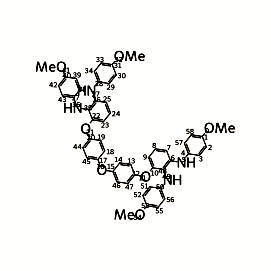 COc1ccc(Nc2cccc(Oc3ccc(Oc4ccc(Oc5cccc(Nc6ccc(OC)cc6)c5Nc5ccc(OC)cc5)cc4)cc3)c2Nc2ccc(OC)cc2)cc1